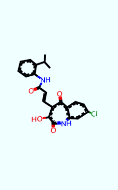 CC(C)c1ccccc1NC(=O)C=Cc1c(O)c(=O)[nH]c2cc(Cl)ccc2c1=O